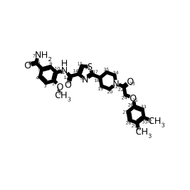 COc1ccc(C(N)=O)cc1NC(=O)c1csc(C2CCN(C(=O)COc3ccc(C)c(C)c3)CC2)n1